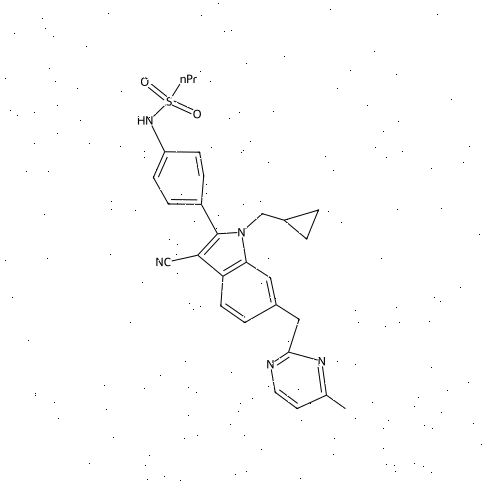 CCCS(=O)(=O)Nc1ccc(-c2c(C#N)c3ccc(Cc4nccc(C)n4)cc3n2CC2CC2)cc1